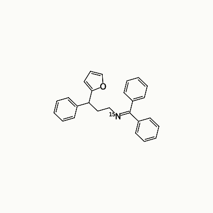 c1ccc(C(=[15N]CCC(c2ccccc2)c2ccco2)c2ccccc2)cc1